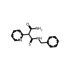 NC(=O)C(C(=S)NCc1ccccc1)c1ccccn1